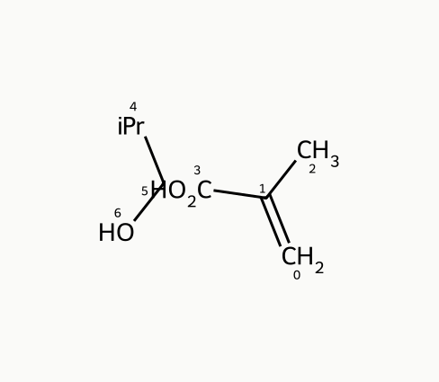 C=C(C)C(=O)O.CC(C)CO